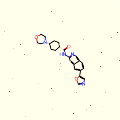 O=C(Nc1cc2cc(-c3cnco3)ccc2cn1)[C@H]1CC[C@@H](N2CCOCC2)CC1